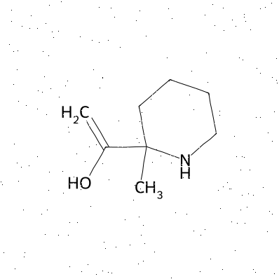 C=C(O)C1(C)CCCCN1